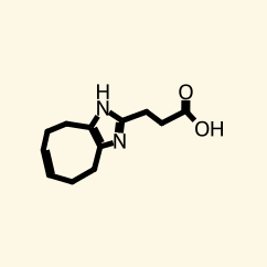 O=C(O)CCc1nc2c([nH]1)CC/C=C\CC2